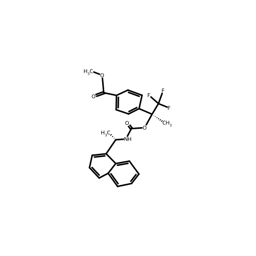 COC(=O)c1ccc([C@](C)(OC(=O)N[C@@H](C)c2cccc3ccccc23)C(F)(F)F)cc1